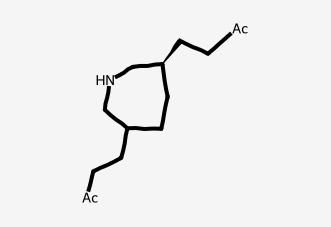 CC(=O)CCC1CC[C@H](CCC(C)=O)CNC1